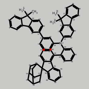 CC1(C)c2ccccc2-c2cc(-c3cccc(N(c4ccc5c(c4)C(C)(C)c4ccccc4-5)c4ccccc4-c4cccc5c4-c4ccccc4C54C5CC6CC(C5)CC4C6)c3)ccc21